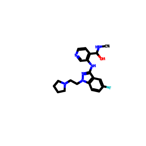 N#CNC(O)c1ccncc1Nc1nn(CCN2CCCC2)c2ccc(F)cc12